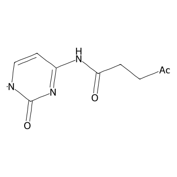 CC(=O)CCC(=O)NC1=NC(=O)[N]C=C1